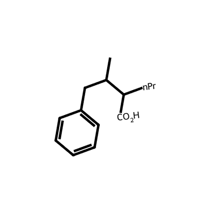 CCCC(C(=O)O)C(C)Cc1ccccc1